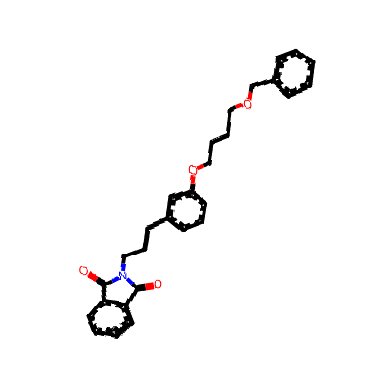 O=C1c2ccccc2C(=O)N1CCCc1cccc(OCCCCOCc2ccccc2)c1